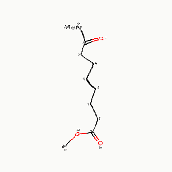 CNC(=O)CCCCCCC(=O)OC(C)C